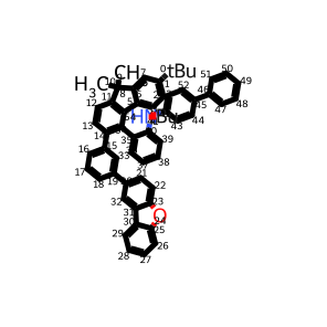 CC(C)(C)c1cc(C(C)(C)C)c2c(c1)C(C)(C)c1ccc(-c3cccc(-c4ccc5oc6ccccc6c5c4)c3)c(-c3ccccc3Nc3ccc(-c4ccccc4)cc3)c1-2